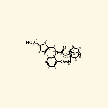 COc1ccccc1N(Cc1ccc(C(=O)O)s1)C(=O)O[C@H]1CN2CCC1CC2